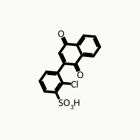 O=C1C=C(c2cccc(S(=O)(=O)O)c2Cl)C(=O)c2ccccc21